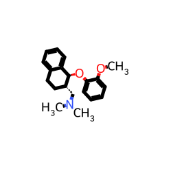 COc1ccccc1O[C@@H]1c2ccccc2CC[C@H]1CN(C)C